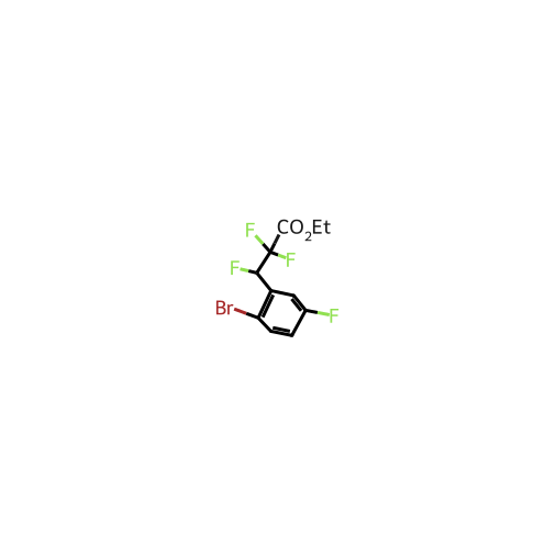 CCOC(=O)C(F)(F)C(F)c1cc(F)ccc1Br